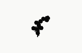 CC1C(C)(C)c2cccc(-c3cccc(-c4ccc(-n5c6ccccc6c6cc7c(cc65)c5ccccc5n7-c5nc(-c6ccccc6)nc(-c6ccc(F)cc6)n5)cc4)c3)c2C1(C)C